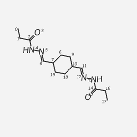 CCC(=O)N/N=C/C1CCC(/C=N/NC(=O)CC)CC1